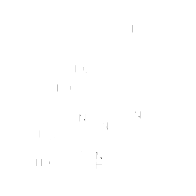 CCC(CC)Nc1c2c(nc3c(-c4ccc(F)cc4C)c(C)nn13)CCC2